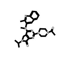 CC(=O)N1CCN(c2nc3c(c(N(C)c4cc5ccccc5nc4C)n2)CN(C(C)C)C3=O)CC1